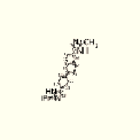 Cc1ncc(-c2ccc3cc(-c4ccc(-c5cnc(C(C)C)[nH]5)cc4)ccc3c2)[nH]1